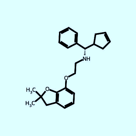 CC1(C)Cc2cccc(OCCN[C@H](c3ccccc3)C3CC=CC3)c2O1